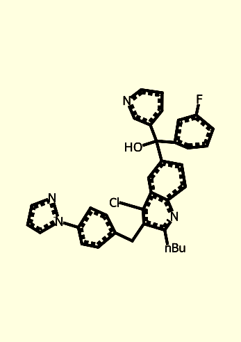 CCCCc1nc2ccc(C(O)(c3cccnc3)c3cccc(F)c3)cc2c(Cl)c1Cc1ccc(-n2cccn2)cc1